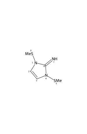 CSn1ccn(SC)c1=N